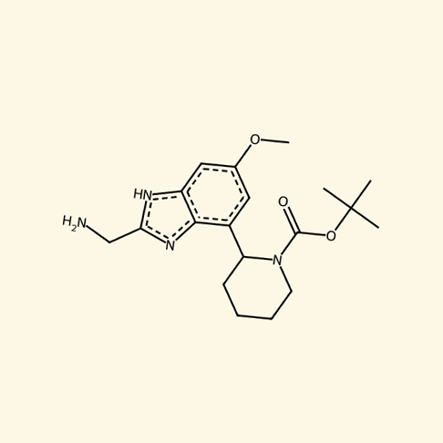 COc1cc(C2CCCCN2C(=O)OC(C)(C)C)c2nc(CN)[nH]c2c1